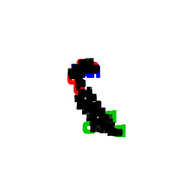 CC(C)(c1ccc(OCc2ocnc2NS(C)(=O)=O)cc1)c1cc(Cl)c(CCCCl)c(Cl)c1